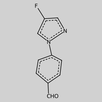 O=Cc1ccc(-n2cc(F)cn2)cc1